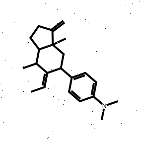 C=C1CCC2C(C)/C(=C\C)C(c3ccc(N(C)C)cc3)CC12C